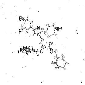 CN(CCn1cc(-c2ccc(F)c(F)c2)nc1C1CCNCC1)C(=O)OCc1ccccc1.Cl.Cl.Cl